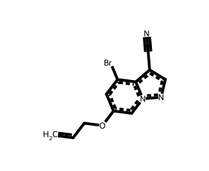 C=CCOc1cc(Br)c2c(C#N)cnn2c1